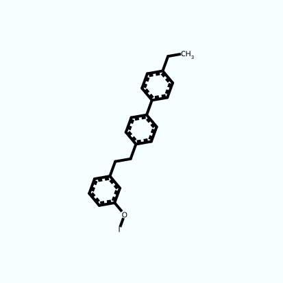 CCc1ccc(-c2ccc(CCc3cccc(OI)c3)cc2)cc1